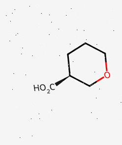 O=C(O)[C@H]1CCCOC1